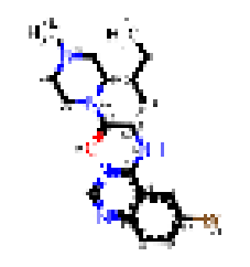 CCCC[C@H](Nc1ncnc2ccc(Br)cc12)C(=O)N1CCN(C)CC1